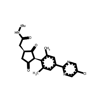 Cc1cc(-c2ncc(Cl)cn2)cc(C)c1[C@H]1C(=O)C[C@@H](CC(=O)NC(C)(C)C)C1=O